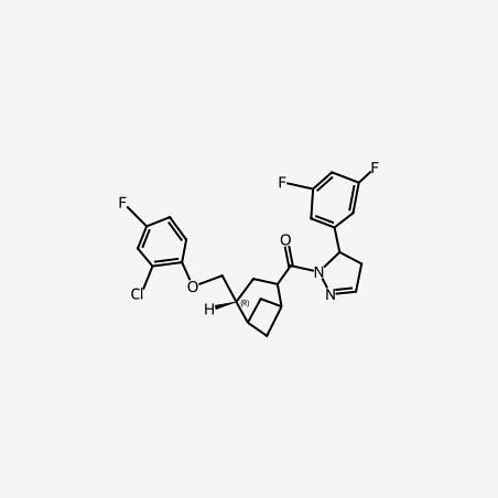 O=C(C1C[C@@H](COc2ccc(F)cc2Cl)C2CC1C2)N1N=CCC1c1cc(F)cc(F)c1